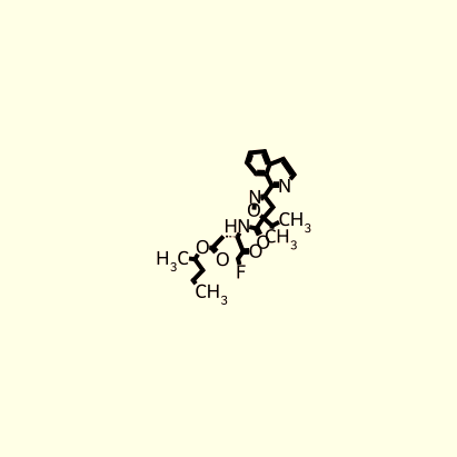 CCCC(C)OC(=O)C[C@H](NC(=O)C1(C(C)C)CC(c2nccc3ccccc23)=NO1)C(=O)CF